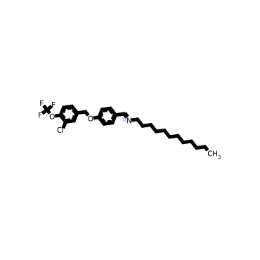 CCCCCCCCCCCC/N=C/c1ccc(OCc2ccc(OC(F)(F)F)c(Cl)c2)cc1